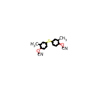 Cc1cc(Sc2ccc(OC#N)c(C)c2)ccc1OC#N